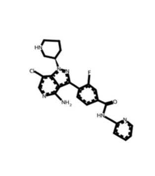 Nc1ncc(Cl)c2c1c(-c1ccc(C(=O)Nc3ccccn3)cc1F)nn2[C@@H]1CCCNC1